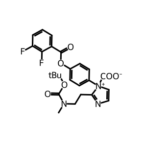 CN(CCC1=NC=C[N+]1(C(=O)[O-])c1ccc(OC(=O)c2cccc(F)c2F)cc1)C(=O)OC(C)(C)C